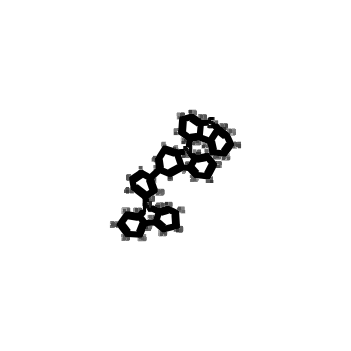 c1cc(-c2ccc3c(c2)c2ccccc2n3-c2cccc3sc4ccccc4c23)cc(-n2c3ccccc3c3ccccc32)c1